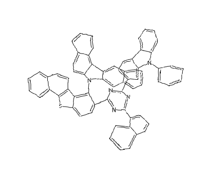 c1ccc(-n2c3ccccc3c3ccc(-c4nc(-c5ccc6sc7c8ccccc8ccc7c6c5-n5c6cc7ccccc7cc6c6c7ccccc7ccc65)nc(-c5cccc6ccccc56)n4)cc32)cc1